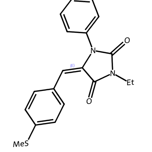 CCN1C(=O)/C(=C\c2ccc(SC)cc2)N(c2ccccc2)C1=O